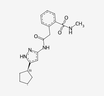 CNS(=O)(=O)c1ccccc1CC(=O)Nc1cc([C@H]2C[CH]CC2)[nH]n1